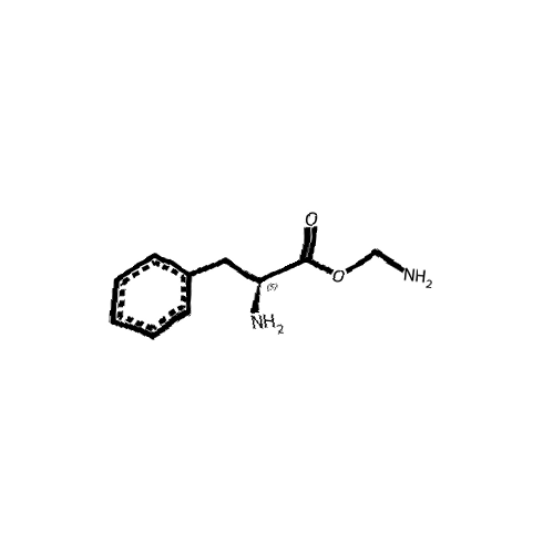 NCOC(=O)[C@@H](N)Cc1ccccc1